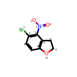 O=[N+]([O-])c1c(Br)ccc2c1CCO2